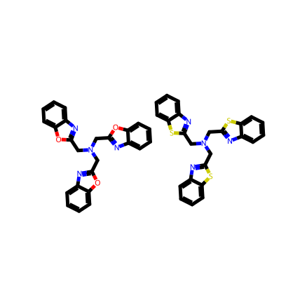 c1ccc2oc(CN(Cc3nc4ccccc4o3)Cc3nc4ccccc4o3)nc2c1.c1ccc2sc(CN(Cc3nc4ccccc4s3)Cc3nc4ccccc4s3)nc2c1